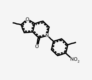 Cc1cc2c(=O)n(-c3ccc([N+](=O)[O-])c(C)c3)ccc2o1